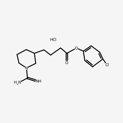 Cl.N=C(N)N1CCCC(CCCC(=O)Oc2ccc(Cl)cc2)C1